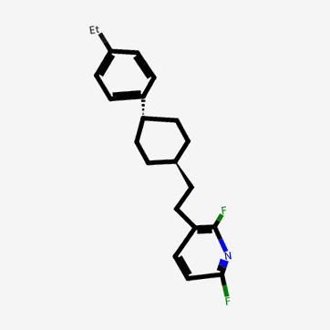 CCc1ccc([C@H]2CC[C@H](CCc3ccc(F)nc3F)CC2)cc1